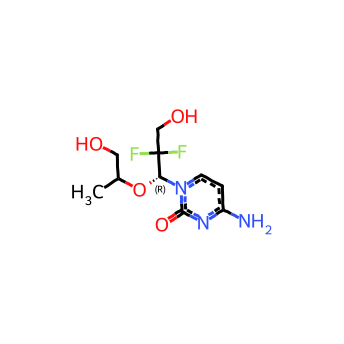 CC(CO)O[C@@H](n1ccc(N)nc1=O)C(F)(F)CO